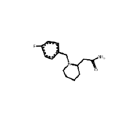 NC(=O)CC1CCCCN1Cc1ccc(F)cc1